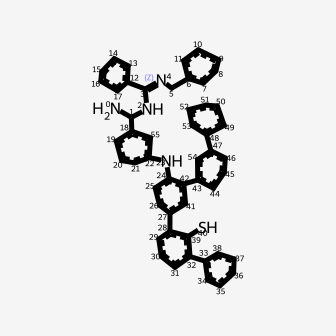 NC(N/C(=N\Cc1ccccc1)c1ccccc1)c1cccc(Nc2ccc(-c3cccc(-c4ccccc4)c3S)cc2-c2cccc(-c3ccccc3)c2)c1